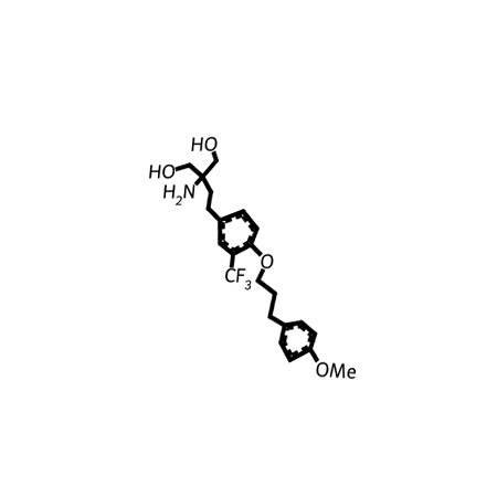 COc1ccc(CCCOc2ccc(CCC(N)(CO)CO)cc2C(F)(F)F)cc1